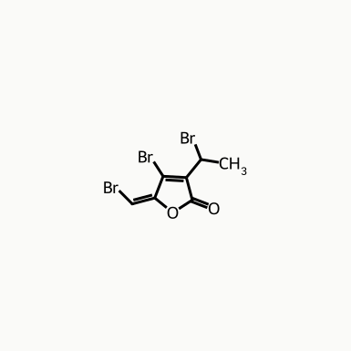 CC(Br)C1=C(Br)C(=CBr)OC1=O